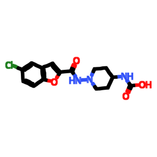 O=C(O)NC1CCN(NC(=O)c2cc3cc(Cl)ccc3o2)CC1